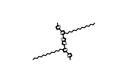 CCCCCCCCCCCCCCc1cc(-c2ccc(C)s2)sc1-c1cc2sc(-c3sc(-c4ccc(C)s4)cc3CCCCCCCCCCCCCC)cc2s1